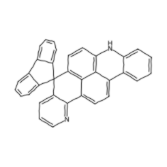 c1ccc2c(c1)Nc1ccc3c4c(ccc-2c14)-c1ncccc1C31c2ccccc2-c2ccccc21